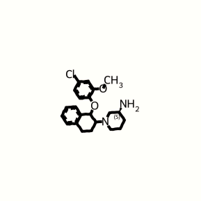 COc1cc(Cl)ccc1OC1c2ccccc2CCC1N1CCC[C@H](N)C1